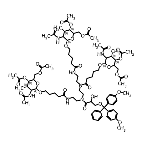 COc1ccc(C(OCC(O)C(=O)N(CCNC(=O)CCCCO[C@@H]2OC(COC(C)=O)[C@H](OC(C)=O)[C@H](C)C2NC(C)=O)CCN(CCNC(=O)CCCCO[C@@H]2OC(COC(C)=O)[C@H](OC(C)=O)[C@H](C)C2NC(C)=O)C(=O)CCCCO[C@@H]2OC(COC(C)=O)[C@H](OC(C)=O)[C@H](C)C2NC(C)=O)(c2ccccc2)c2ccc(OC)cc2)cc1